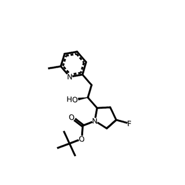 Cc1cccc(C[C@H](O)C2CC(F)CN2C(=O)OC(C)(C)C)n1